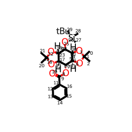 CC1(C)O[C@@H]2[C@@H](O1)[C@H](OC(=O)c1ccccc1)[C@H]1OC(C)(C)O[C@@H]1[C@H]2O[Si](C)(C)C(C)(C)C